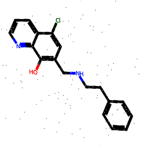 Oc1c(CNCCc2ccccc2)cc(Cl)c2cccnc12